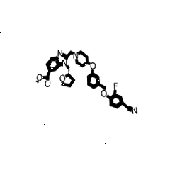 COC(=O)c1ccc2nc(CN3CCC(Oc4cccc(COc5ccc(C#N)cc5F)c4)CC3)n(C[C@@H]3CCCO3)c2c1